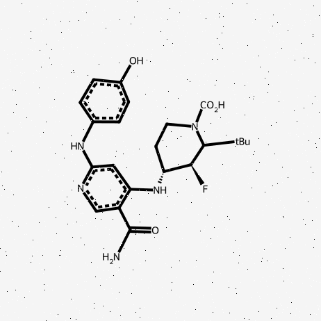 CC(C)(C)C1[C@@H](F)[C@H](Nc2cc(Nc3ccc(O)cc3)ncc2C(N)=O)CCN1C(=O)O